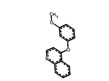 COc1cccc(Oc2ccnc3ccccc23)c1